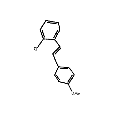 COc1ccc(C=Cc2ccccc2Cl)cc1